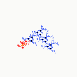 NNc1nc(N)nc(N)n1.NNc1nc(N)nc(N)n1.NNc1nc(N)nc(N)n1.NNc1nc(N)nc(N)n1.O=P(O)(O)OP(=O)(O)O